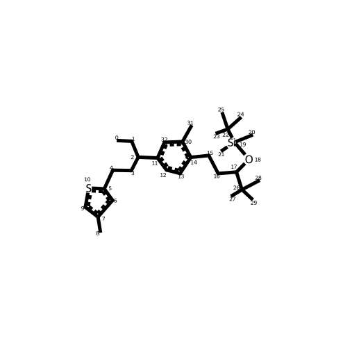 CCC(CCc1cc(C)cs1)c1ccc(CCC(O[Si](C)(C)C(C)(C)C)C(C)(C)C)c(C)c1